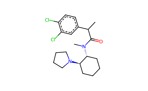 CC(C(=O)N(C)[C@@H]1CCCC[C@H]1N1CCCC1)c1ccc(Cl)c(Cl)c1